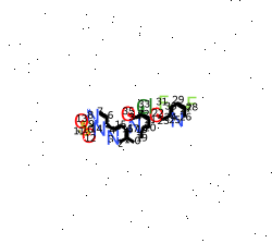 Cc1cnc(-c2ccnc(S(C)(=O)=O)n2)cc1-n1c(C)cc(OCc2ncc(F)cc2F)c(Cl)c1=O